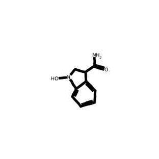 NC(=O)C1CN(O)c2ccccc21